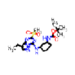 CCc1cnn2c(NC3CCCC(NC(=O)OC(C)(C)C)C3)nc(S(C)(=O)=O)nc12